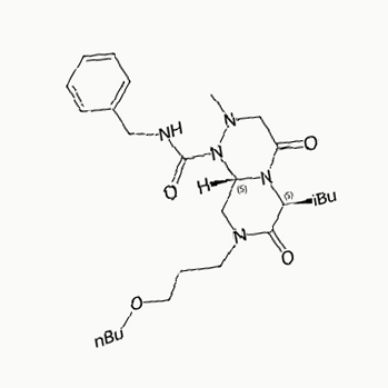 CCCCOCCCN1C[C@H]2N(C(=O)CN(C)N2C(=O)NCc2ccccc2)[C@@H](C(C)CC)C1=O